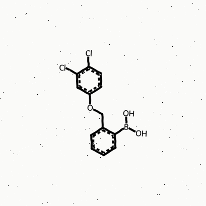 OB(O)c1ccccc1COc1ccc(Cl)c(Cl)c1